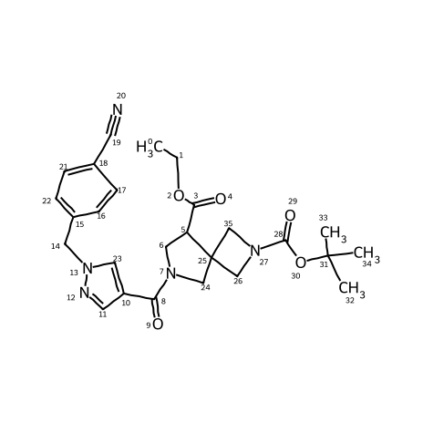 CCOC(=O)C1CN(C(=O)c2cnn(Cc3ccc(C#N)cc3)c2)CC12CN(C(=O)OC(C)(C)C)C2